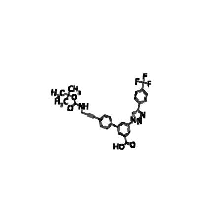 CC(C)(C)OC(=O)NCC#Cc1ccc(-c2cc(C(=O)O)cc(-n3cc(-c4ccc(C(F)(F)F)cc4)nn3)c2)cc1